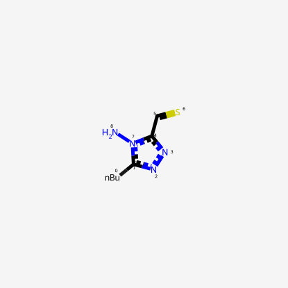 CCCCc1nnc(C=S)n1N